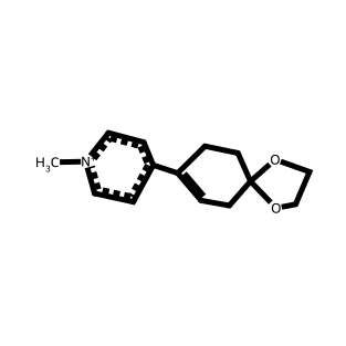 C[n+]1ccc(C2=CCC3(CC2)OCCO3)cc1